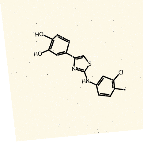 Cc1ccc(Nc2nc(-c3ccc(O)c(O)c3)cs2)cc1Cl